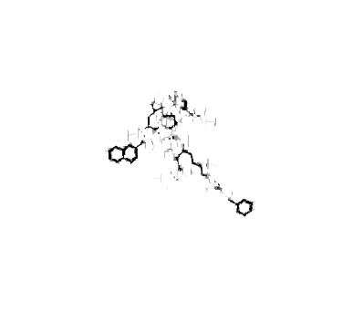 CC1(CC(NC(=O)c2ccc3ccccc3c2)C(=O)N2C[C@@H](n3nncc3C(C)(C)O)C[C@H]2C(=O)NC(CCCCNC(=O)OCc2ccccc2)C(=O)C(N)=O)COC1